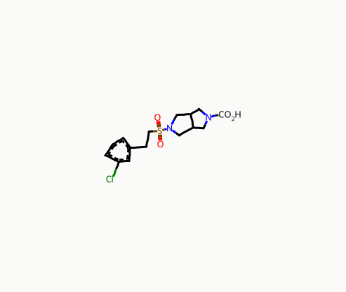 O=C(O)N1CC2CN(S(=O)(=O)CCc3cccc(Cl)c3)CC2C1